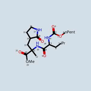 CCCCCOC(=O)NC(CC(C)C)C(=O)NC(C)(CC1CCNC1=O)C(=O)OC